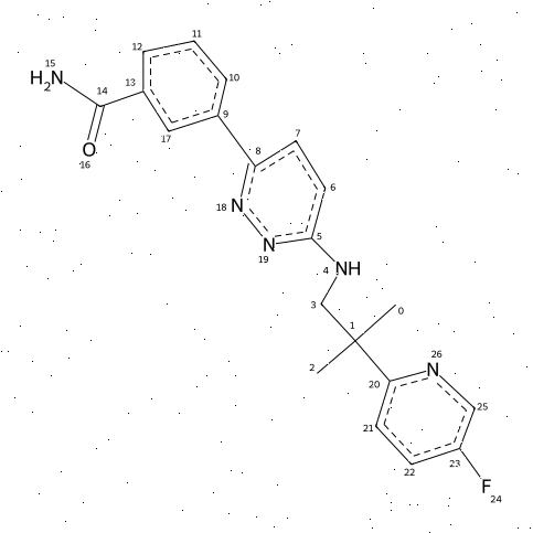 CC(C)(CNc1ccc(-c2cccc(C(N)=O)c2)nn1)c1ccc(F)cn1